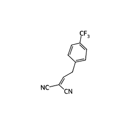 N#CC(C#N)=CCc1ccc(C(F)(F)F)cc1